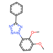 COc1cccc(-n2nnc(-c3ccccc3)n2)c1OC